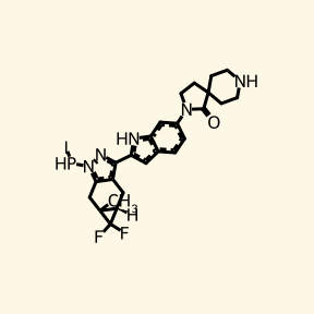 CC12Cc3c(c(-c4cc5ccc(N6CCC7(CCNCC7)C6=O)cc5[nH]4)nn3PI)C[C@@H]1C2(F)F